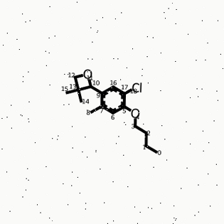 CCCCOc1cc(C)c(C2OCC2(C)C)cc1Cl